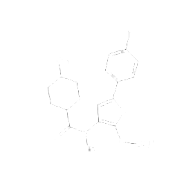 CC1CCC(C(=O)N(c2cc(-c3ccc(F)cc3)sc2OC(=O)O)C(C)C)CC1